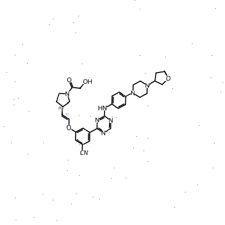 N#Cc1cc(O/C=C/[C@H]2CCN(C(=O)CO)C2)cc(-c2ncnc(Nc3ccc(N4CCN(C5CCOC5)CC4)cc3)n2)c1